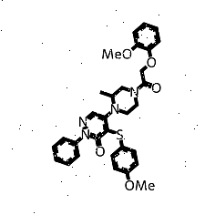 COc1ccc(Sc2c(N3CCN(C(=O)COc4ccccc4OC)CC3C)cnn(-c3ccccc3)c2=O)cc1